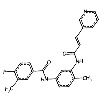 Cc1ccc(NC(=O)c2ccc(F)c(C(F)(F)F)c2)cc1NC(=O)C=Cc1cccnc1